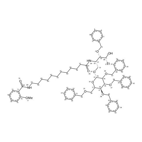 CC[C@@H](O)[C@@H](OCc1ccccc1)[C@H](CO[C@H]1OC(COCc2ccccc2)[C@H](OCc2ccccc2)C(OCc2ccccc2)C1OCc1ccccc1)NC(=O)CCCCCCCCCCCNC(=O)c1ccccc1OC